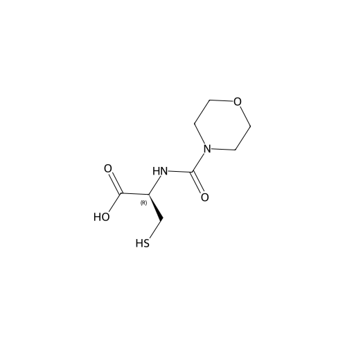 O=C(O)[C@H](CS)NC(=O)N1CCOCC1